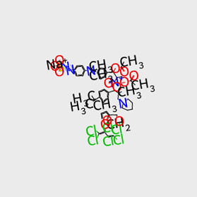 C=O.CC(=O)OCC(C(OC(C)=O)c1ccccc1)[N+](=O)[O-].CC(Cc1ccc(C(C)(C)C)cc1)CN1CCCCC1.CN(C)c1ccc(/N=N/S(=O)(=O)[O-])cc1.ClC(Cl)=C(Cl)C(Cl)=C(Cl)Cl.O=Cc1ccco1.[Na+]